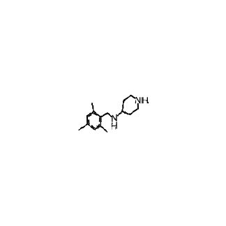 Cc1cc(C)c(CNC2CCNCC2)c(C)c1